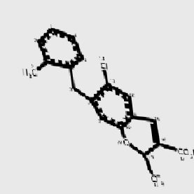 Cc1ccccc1Cc1cc2c(cc1Cl)C=C(C(=O)O)C(C(F)(F)F)O2